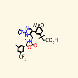 COc1ccc(C(C)(C)CC(=O)O)cc1-c1cnc(N2CCC2)nc1CN1C(=O)O[C@H](c2cc(C)cc(C(F)(F)F)c2)[C@@H]1C